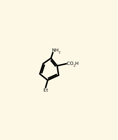 CCc1ccc(N)c(C(=O)O)c1